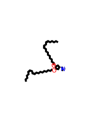 CCCCC/C=C\C/C=C\CCCCCCCCCO[C@H]1C[C@@H](CN(C)C)C[C@H]1OCCCCCCCCC/C=C\C/C=C\CCCCC